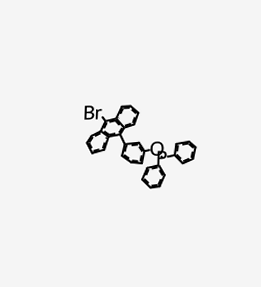 Brc1c2ccccc2c(-c2cccc(OP(c3ccccc3)c3ccccc3)c2)c2ccccc12